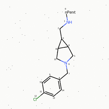 CCCCCNCC1C2CN(Cc3ccc(Cl)cc3)CC12